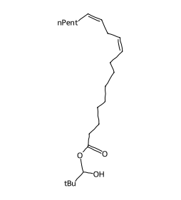 CCCCC/C=C\C/C=C\CCCCCCCC(=O)OC(O)C(C)(C)C